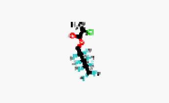 C=C(Cl)C(=O)OCC(F)(F)C(F)(F)C(F)(F)C(F)F